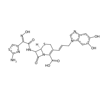 Nc1nc(/C(=N/O)C(=O)NC2C(=O)N3C(C(=O)O)=C(/C=C/Cn4cnc5cc(O)c(O)cc54)CS[C@H]23)cs1